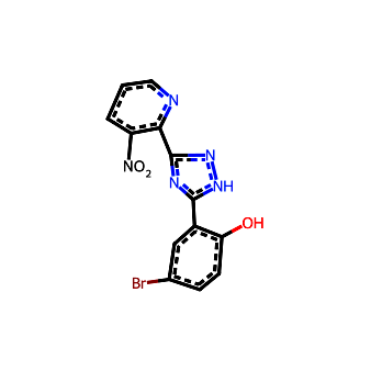 O=[N+]([O-])c1cccnc1-c1n[nH]c(-c2cc(Br)ccc2O)n1